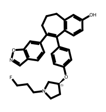 Oc1ccc2c(c1)CCCC(c1ccc3cnoc3c1)=C2c1ccc(O[C@H]2CCN(CCCF)C2)cc1